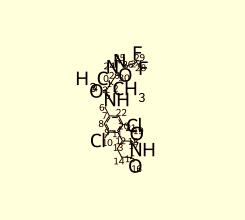 CC(C)(C(=O)NCc1cc(Cl)c(C2CCC(=O)NC2=O)c(Cl)c1)c1nnc(C(F)F)o1